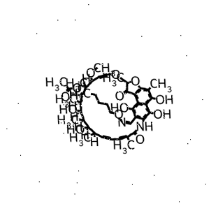 CCCCCO/N=C\c1c2c(O)c3c(O)c(C)c4c(c3c1O)C(=O)[C@@](C)(O/C=C\[C@H](OC)[C@@H](C)[C@@H](OC(C)=O)[C@H](C)[C@H](O)[C@H](C)[C@@H](O)[C@@H](C)/C=C\C=C(\C)C(=O)N2)O4